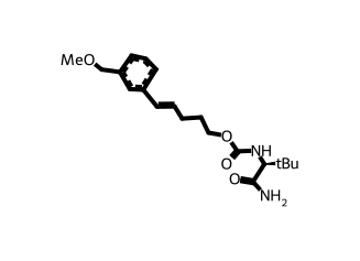 COCc1cccc(/C=C/CCCOC(=O)N[C@H](C(N)=O)C(C)(C)C)c1